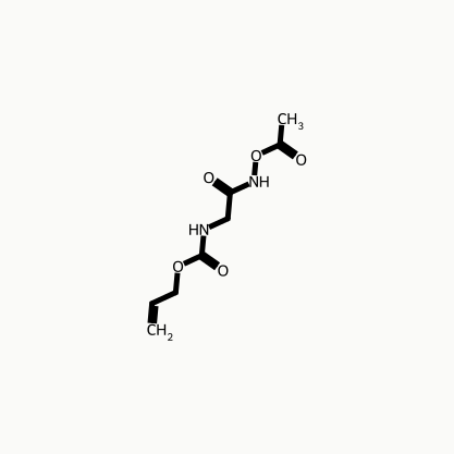 C=CCOC(=O)NCC(=O)NOC(C)=O